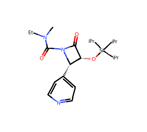 CCN(C)C(=O)N1C(=O)[C@H](O[Si](C(C)C)(C(C)C)C(C)C)[C@@H]1c1ccncc1